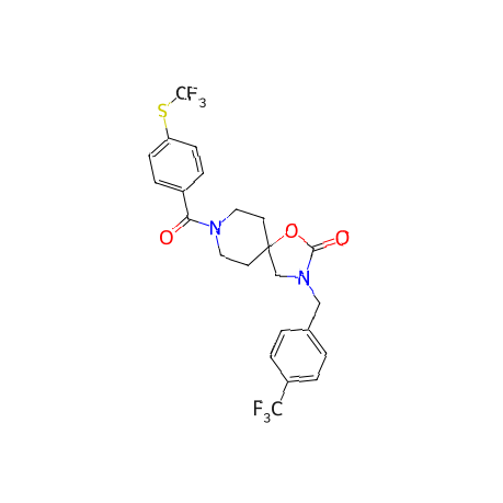 O=C1OC2(CCN(C(=O)c3ccc(SC(F)(F)F)cc3)CC2)CN1Cc1ccc(C(F)(F)F)cc1